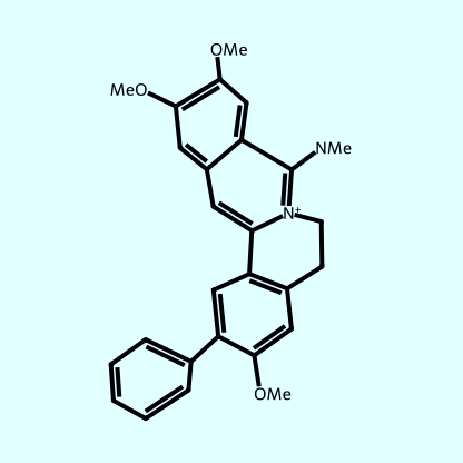 CNc1c2cc(OC)c(OC)cc2cc2[n+]1CCc1cc(OC)c(-c3ccccc3)cc1-2